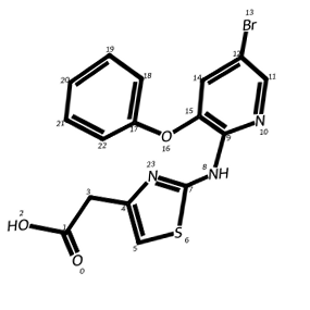 O=C(O)Cc1csc(Nc2ncc(Br)cc2Oc2ccccc2)n1